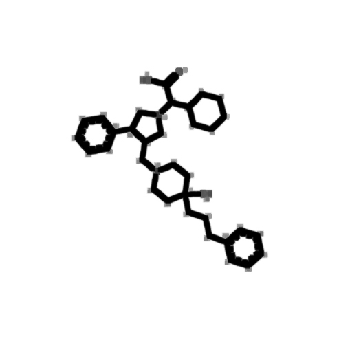 O=C(O)C(C1CCCCC1)N1CC(CN2CCC(O)(CCCc3ccccc3)CC2)C(c2ccccc2)C1